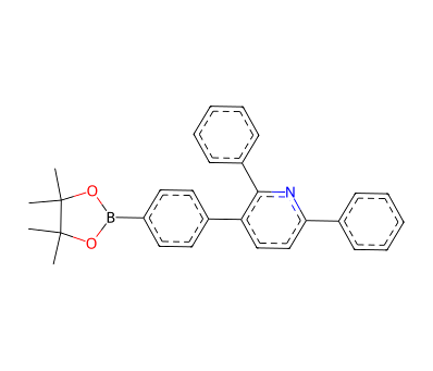 CC1(C)OB(c2ccc(-c3ccc(-c4ccccc4)nc3-c3ccccc3)cc2)OC1(C)C